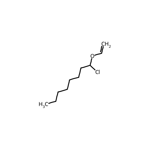 C=COC(Cl)CCCCCCC